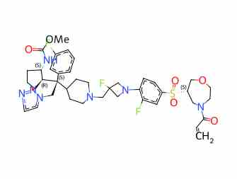 C=CC(=O)N1CCOC[C@@H](S(=O)(=O)c2ccc(N3CC(F)(CN4CCC([C@@](Cn5ccnn5)(c5cccc(F)c5)[C@H]5CCC[C@@H]5NC(=O)OC)CC4)C3)c(F)c2)C1